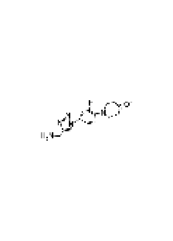 NCc1cn(-c2ccc(N3CC[S+]([O-])CC3)c(F)c2)nn1